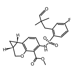 COC(=O)c1c(NS(=O)(=O)c2ccc(F)cc2CC(C)(C)C=O)ccc2c1OC[C@@H]1C[C@H]21